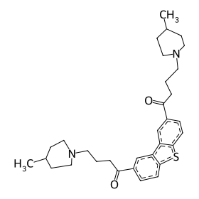 CC1CCN(CCCC(=O)c2ccc3sc4ccc(C(=O)CCCN5CCC(C)CC5)cc4c3c2)CC1